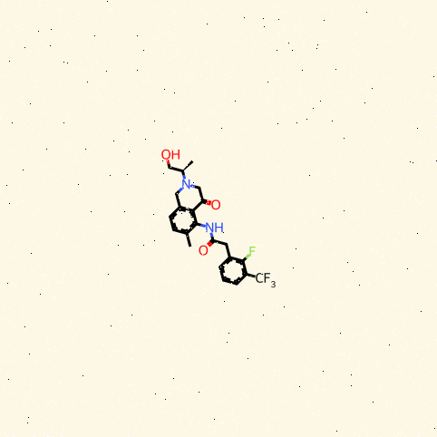 Cc1ccc2c(c1NC(=O)Cc1cccc(C(F)(F)F)c1F)C(=O)CN([C@H](C)CO)C2